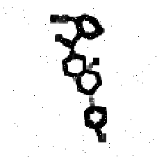 COc1ccccc1C(=O)N1CCN2C[C@@H](c3ccc(Cl)cc3)CC[C@@H]2C1